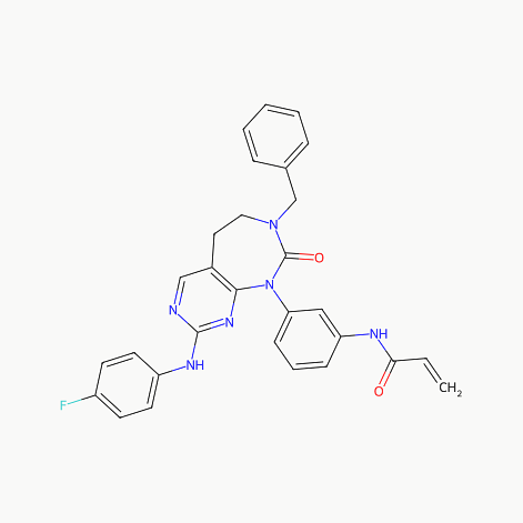 C=CC(=O)Nc1cccc(N2C(=O)N(Cc3ccccc3)CCc3cnc(Nc4ccc(F)cc4)nc32)c1